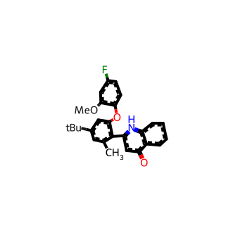 COc1cc(F)ccc1Oc1cc(C(C)(C)C)cc(C)c1-c1cc(=O)c2ccccc2[nH]1